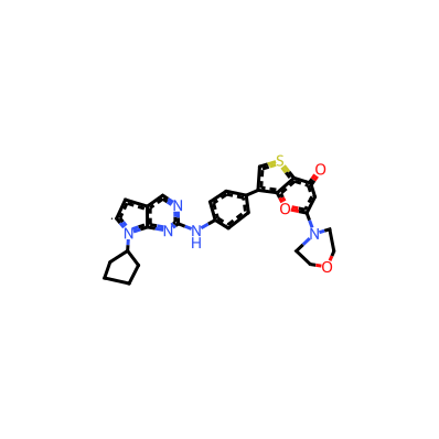 O=c1cc(N2CCOCC2)oc2c(-c3ccc(Nc4ncc5c[c]n(C6CCCC6)c5n4)cc3)csc12